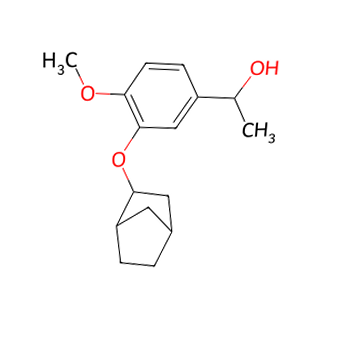 COc1ccc(C(C)O)cc1OC1CC2CCC1C2